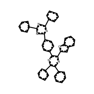 c1ccc(-c2nc(-c3ccccc3)nc(-c3ccc(-c4nc(-c5ccccc5)c(-c5ccccc5)nc4-c4cc5ccccc5o4)cc3)n2)cc1